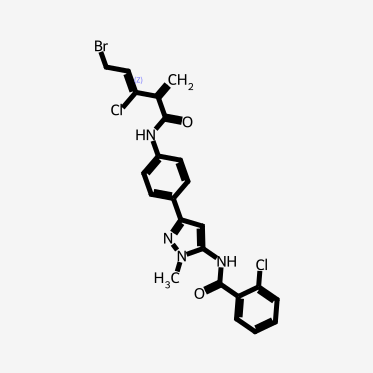 C=C(C(=O)Nc1ccc(-c2cc(NC(=O)c3ccccc3Cl)n(C)n2)cc1)/C(Cl)=C/CBr